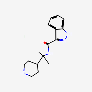 CC(C)(NC(=O)c1n[nH]c2ccccc12)C1CCNCC1.Cl